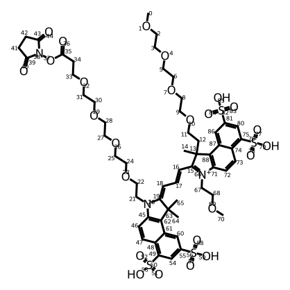 COCCOCCOCCOCCC1(C)C(/C=C/C=C2/N(CCOCCOCCOCCOCCC(=O)ON3C(=O)CCC3=O)c3ccc4c(S(=O)(=O)O)cc(S(=O)(=O)O)cc4c3C2(C)C)=[N+](CCOC)c2ccc3c(S(=O)(=O)O)cc(S(=O)(=O)O)cc3c21